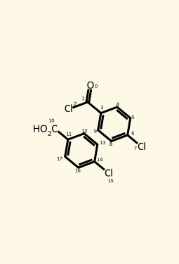 O=C(Cl)c1ccc(Cl)cc1.O=C(O)c1ccc(Cl)cc1